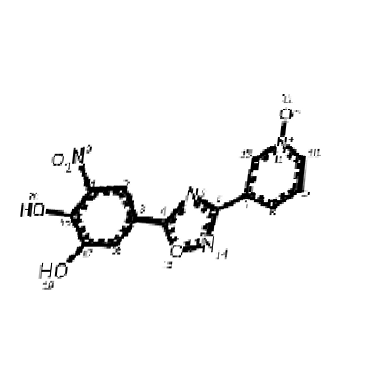 O=[N+]([O-])c1cc(-c2nc(-c3ccc[n+]([O-])c3)no2)cc(O)c1O